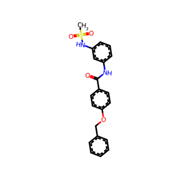 CS(=O)(=O)Nc1cccc(NC(=O)c2ccc(OCc3ccccc3)cc2)c1